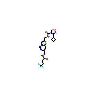 O=C(CCC(F)(F)F)NCc1cnn2cc(CNC(=O)c3conc3C3CCC3)nc2c1